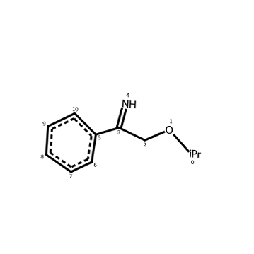 CC(C)OCC(=N)c1ccccc1